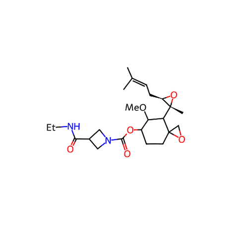 CCNC(=O)C1CN(C(=O)OC2CCC3(CO3)C([C@@]3(C)O[C@@H]3CC=C(C)C)C2OC)C1